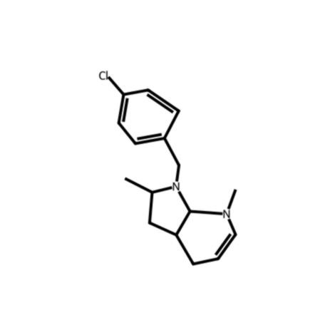 CC1CC2CC=CN(C)C2N1Cc1ccc(Cl)cc1